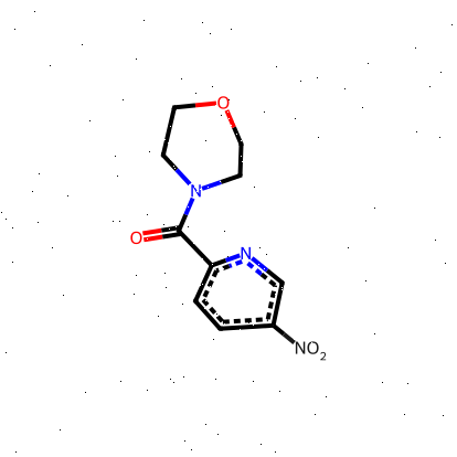 O=C(c1ccc([N+](=O)[O-])cn1)N1CCOCC1